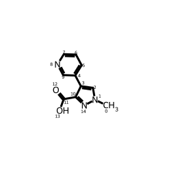 Cn1cc(-c2cccnc2)c(C(=O)O)n1